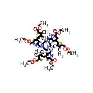 CCOOCc1cc(-c2sc(C(=O)OCC)c(C)c2C)cc(CN2CCN(Cc3cc(-c4sc(COOCC)c(C)c4C)cc(C(=O)OCC)n3)CCN(Cc3cc(-c4sc(COOCC)c(C)c4C)cc(C(=O)OCC)n3)CC2)n1